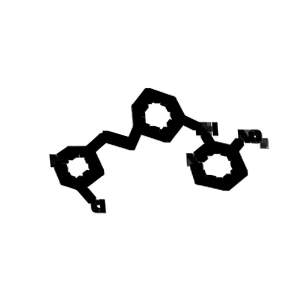 O=[N+]([O-])c1cccnc1Nc1cccc(C=Cc2cncc(Cl)c2)c1